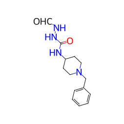 O=CNNC(=O)NC1CCN(Cc2ccccc2)CC1